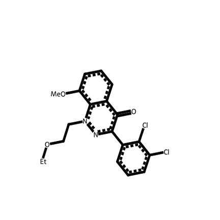 CCOCCn1nc(-c2cccc(Cl)c2Cl)c(=O)c2cccc(OC)c21